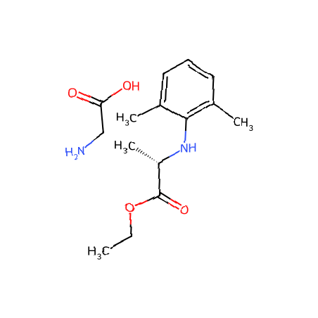 CCOC(=O)[C@H](C)Nc1c(C)cccc1C.NCC(=O)O